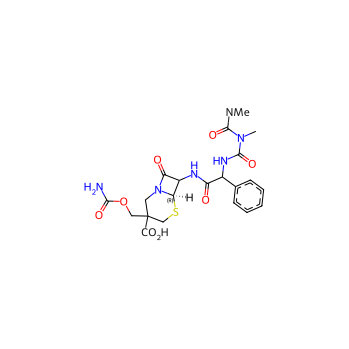 CNC(=O)N(C)C(=O)NC(C(=O)NC1C(=O)N2CC(COC(N)=O)(C(=O)O)CS[C@H]12)c1ccccc1